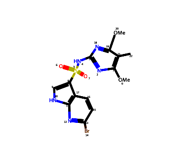 COc1nc(NS(=O)(=O)c2c[nH]c3nc(Br)ccc23)nc(OC)c1C